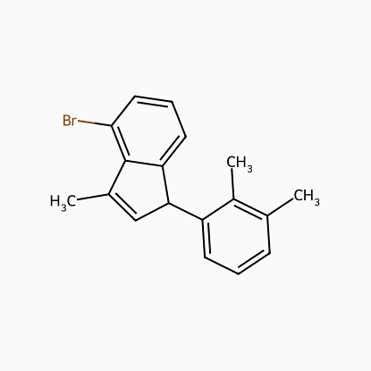 CC1=CC(c2cccc(C)c2C)c2cccc(Br)c21